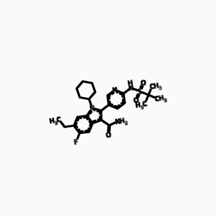 CCc1cc2c(cc1F)c(C(N)=O)c(-c1ccc(NS(=O)(=O)C(C)(C)C)nc1)n2C1CCCCC1